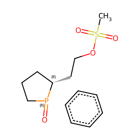 CS(=O)(=O)OCC[C@H]1CCC[P@]1(=O)c1ccccc1